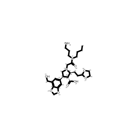 CCCCN(CCCN)C(=O)CN1C[C@H](c2cc(CO)c3c(c2)OCO3)[C@@H](C(=O)O)[C@@H]1CCC1OCCO1